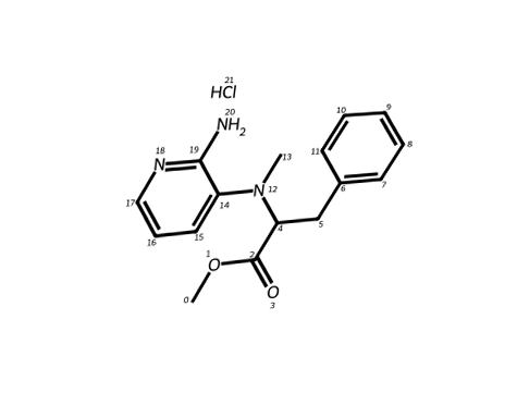 COC(=O)C(Cc1ccccc1)N(C)c1cccnc1N.Cl